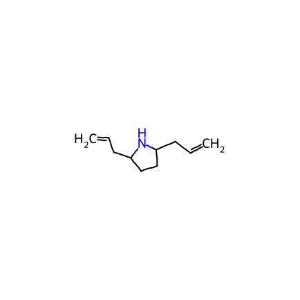 C=CCC1CCC(CC=C)N1